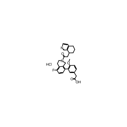 COc1ccc(CC(=O)O)cc1-c1ccc(F)c2c1CN(C(=O)CC1CCCc3ccncc31)CC2.Cl